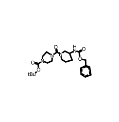 CC(C)(C)OC(=O)N1CCN(C(=O)N2CCCC(NC(=O)OCc3ccccc3)C2)CC1